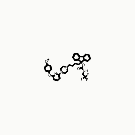 COc1ccc(Oc2cccc(N3CCN(CCCCC4(OC(=O)NCC(F)(F)F)c5ccccc5-c5ccccc54)CC3)n2)cc1